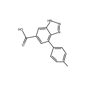 Cc1ccc(-c2cc(C(=O)O)cc3[nH]nnc23)cc1